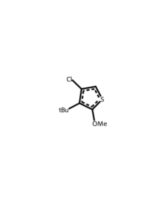 COc1scc(Cl)c1C(C)(C)C